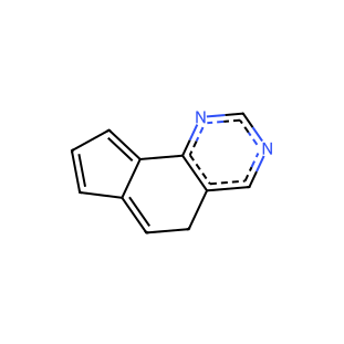 C1=CC2=CCc3cncnc3C2=C1